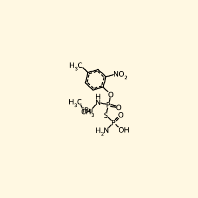 CC.CCC(C)NP(=O)(Oc1ccc(C)cc1[N+](=O)[O-])SP(N)(=O)O